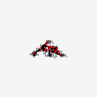 CNC(=O)C(CCCNC(=N)N)NC(=O)CN(CCNC(=O)C(CCCNC(=N)N)NC(=O)CN(CCNC(=O)C(CCCNC(=N)N)NC(=O)CN(CCNC(=O)CCCC[C@@H]1SC[C@@H]2NC(=O)N[C@@H]21)C(=O)Cn1cc(C)c(=O)[nH]c1=O)C(=O)Cn1cc(C)c(=O)[nH]c1=O)C(=O)Cn1cc(C)c(=O)[nH]c1=O